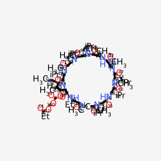 C/C=C/C[C@@H](C)[C@@H](OC(=O)OCOC(=O)CC)[C@H]1C(=O)N[C@@H](CC)C(=O)N(C)CC(=O)N(C)[C@@H](CC(C)C)C(=O)N[C@@H](C(C)C)C(=O)N(C)[C@@H](CC(C)C)C(=O)N[C@@H](C)C(=O)N[C@H](C)C(=O)N(C)[C@@H](CC(C)C)C(=O)N(C)[C@@H](CC(C)C)C(=O)N(C)[C@@H](C(C)C)C(=O)N1C